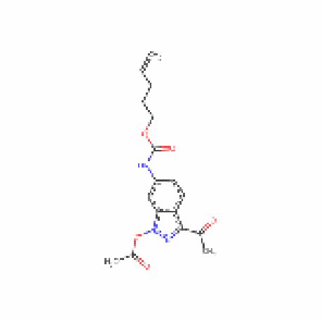 C=CCCCOC(=O)Nc1ccc2c(C(C)=O)nn(OC(C)=O)c2c1